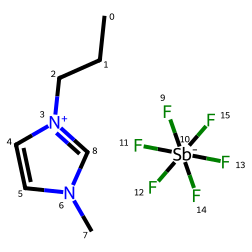 CCC[n+]1ccn(C)c1.[F][Sb-]([F])([F])([F])([F])[F]